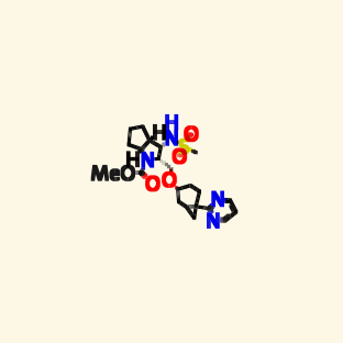 COC(=O)N1[C@@H]2CCC[C@@H]2[C@H](NS(C)(=O)=O)[C@@H]1COC1CCC2(c3ncccn3)CC2C1